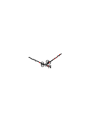 CCCCCCCCCCCCCCCOC(=O)CCN(CCCN(C)C)CCC(=O)OCCCCCCCCCCCCCCC